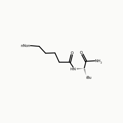 CCCCCCCCCCCCCC(=O)N[C@H](C(N)=O)[C@@H](C)CC